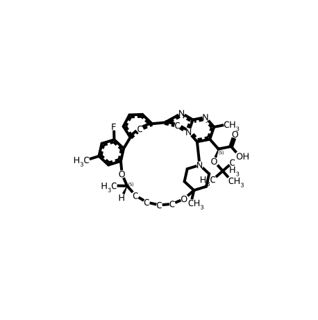 Cc1cc(F)c2c(c1)O[C@@H](C)CCCCOC1(C)CCN(CC1)c1c([C@H](OC(C)(C)C)C(=O)O)c(C)nc3nc(cn13)-c1cccc-2c1